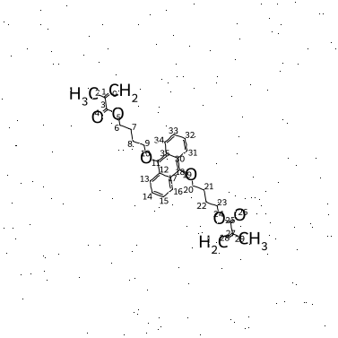 C=C(C)C(=O)OCCCCOc1c2ccccc2c(OCCCCOC(=O)C(=C)C)c2ccccc12